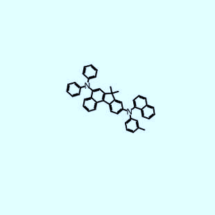 Cc1cccc(N(c2ccc3c(c2)C(C)(C)c2cc(N(c4ccccc4)c4ccccc4)c4ccccc4c2-3)c2cccc3ccccc23)c1